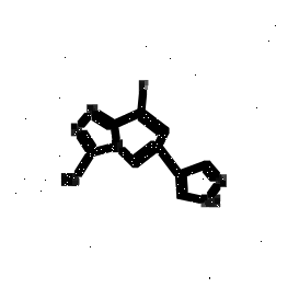 Fc1cc(-c2cn[nH]c2)cn2c(S)nnc12